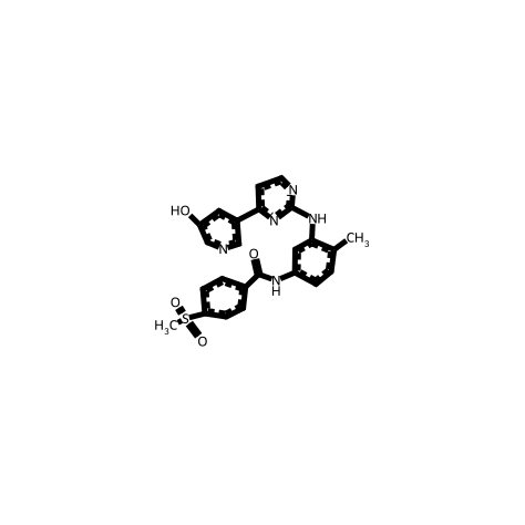 Cc1ccc(NC(=O)c2ccc(S(C)(=O)=O)cc2)cc1Nc1nccc(-c2cncc(O)c2)n1